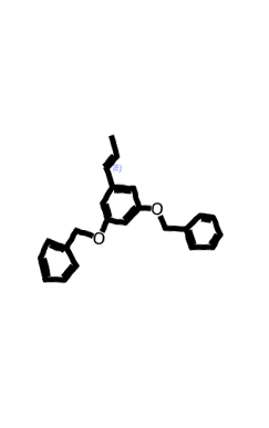 C/C=C/c1cc(OCc2ccccc2)cc(OCc2ccccc2)c1